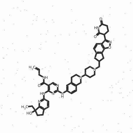 C=CCNC(=O)c1cnc(Nc2ccc3c(c2)CCN(C2CCN(CC4Cc5ccc6c(C7CCC(=O)NC7=O)noc6c5C4)CC2)C3)nc1Nc1ccc2c(n1)C(O)(CC)CC2